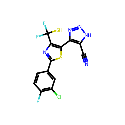 N#Cc1[nH]nnc1-c1sc(-c2ccc(F)c(Cl)c2)nc1C(F)(F)S